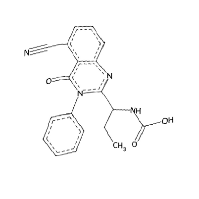 CCC(NC(=O)O)c1nc2cccc(C#N)c2c(=O)n1-c1ccccc1